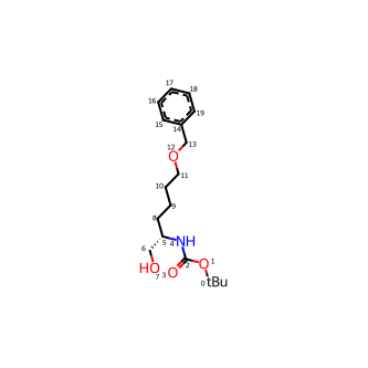 CC(C)(C)OC(=O)N[C@H](CO)CCCCOCc1ccccc1